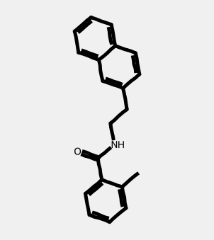 Cc1ccccc1C(=O)NCCc1ccc2ccccc2c1